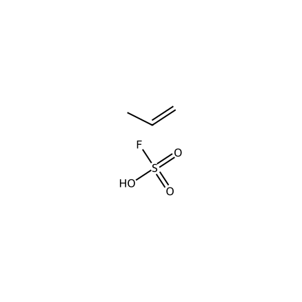 C=CC.O=S(=O)(O)F